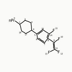 CCCC1CCC(c2ccc(C(F)=C(F)F)c(F)c2)CC1